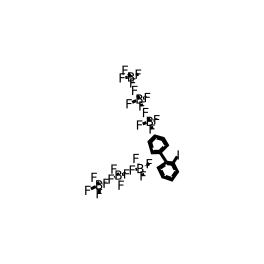 F[B-](F)(F)F.F[B-](F)(F)F.F[B-](F)(F)F.F[B-](F)(F)F.F[B-](F)(F)F.F[B-](F)(F)F.Ic1ccccc1-c1ccccc1